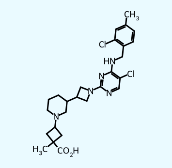 Cc1ccc(CNc2nc(N3CC(C4CCCN(C5CC(C)(C(=O)O)C5)C4)C3)ncc2Cl)c(Cl)c1